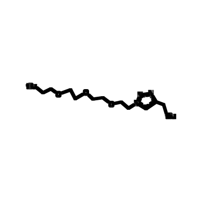 CC(C)(C)CCOCCOCCOCCn1cc(CC(C)(C)C)nn1